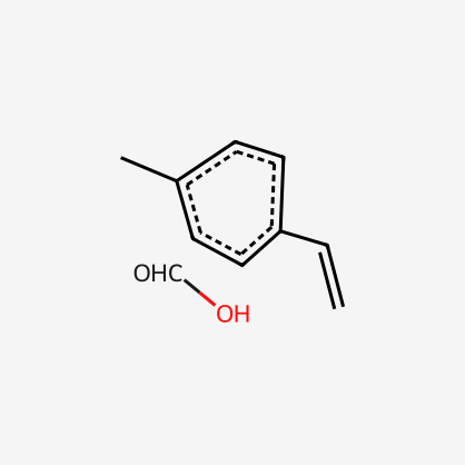 C=Cc1ccc(C)cc1.O=CO